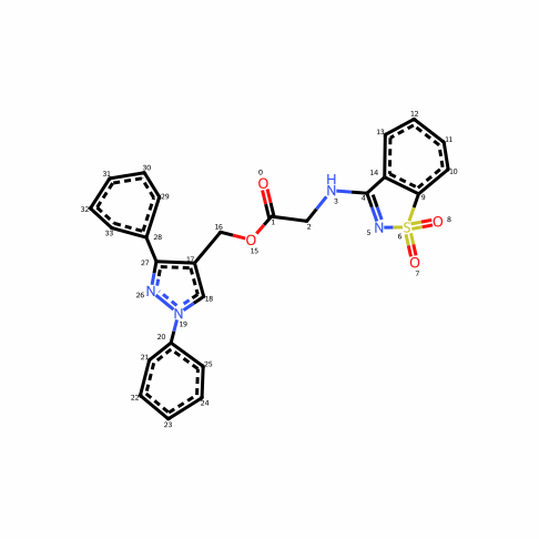 O=C(CNC1=NS(=O)(=O)c2ccccc21)OCc1cn(-c2ccccc2)nc1-c1ccccc1